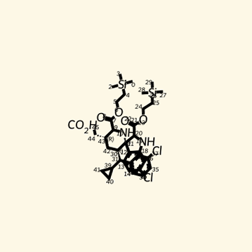 C[Si](C)(C)CCOC(=O)C1N[C@]2(c3ccc(Cl)cc3NC2C(=O)OCC[Si](C)(C)C)[C@@H](C(c2cccc(Cl)c2)C2CC2)C[C@@H]1CC(=O)O